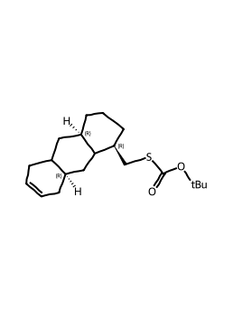 CC(C)(C)OC(=O)SC[C@@H]1CCC[C@@H]2CC3CC=CC[C@@H]3CC21